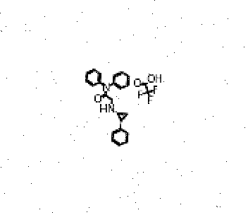 O=C(CN[C@@H]1C[C@H]1c1ccccc1)N(c1ccccc1)c1ccccc1.O=C(O)C(F)(F)F